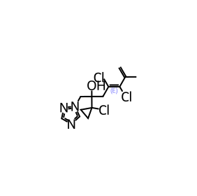 C=C(C)/C(Cl)=C(\Cl)CC(O)(Cn1cncn1)C1(Cl)CC1